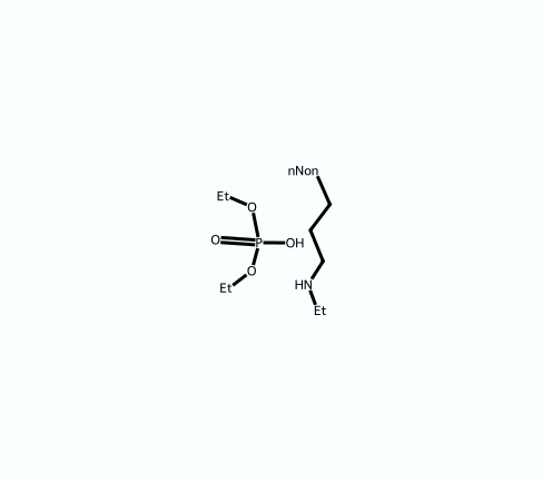 CCCCCCCCCCCCNCC.CCOP(=O)(O)OCC